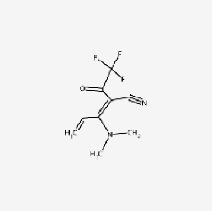 C=CC(=C(C#N)C(=O)C(F)(F)F)N(C)C